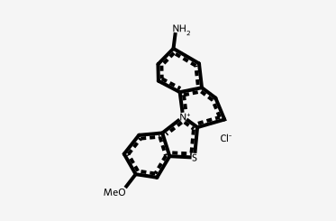 COc1ccc2c(c1)sc1ccc3cc(N)ccc3[n+]12.[Cl-]